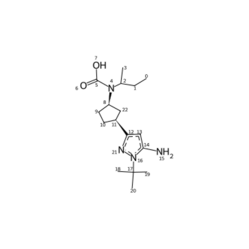 CCC(C)N(C(=O)O)[C@@H]1CC[C@H](c2cc(N)n(C(C)(C)C)n2)C1